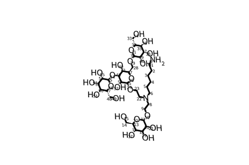 NCCCCCCN(CCO[C@H]1O[C@H](CO)[C@@H](O)[C@H](O)[C@@H]1O)CCO[C@H]1O[C@H](CO[C@H]2O[C@H](CO)[C@@H](O)[C@H](O)[C@@H]2O)[C@@H](O)[C@H](O[C@H]2O[C@H](CO)[C@@H](O)[C@H](O)[C@@H]2O)[C@@H]1O